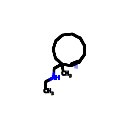 CCNCC1(C)/C=C\CCCCCCCC1